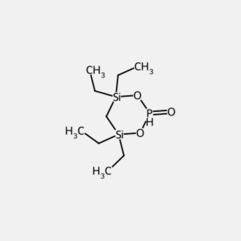 CC[Si]1(CC)C[Si](CC)(CC)O[PH](=O)O1